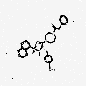 COc1ccc(C[C@@H](C(=O)N2CCCN(C(=O)Cc3ccccc3)CC2)N(C)S(=O)(=O)c2cccc3cnccc23)cc1